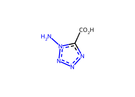 Nn1nnnc1C(=O)O